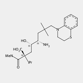 CNC(=O)[C@@](C[C@H](O)[C@@H](N)CC(C)(C)CN1CCSc2ccccc21)(C(=O)O)C(C)C